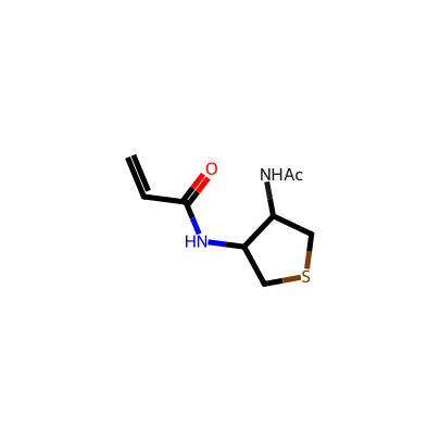 C=CC(=O)NC1CSCC1NC(C)=O